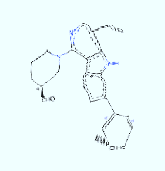 CN/C=C(\C=C/C=O)c1ccc2c(c1)[nH]c1c(C=O)cnc(N3CCC[C@H](C=O)C3)c12